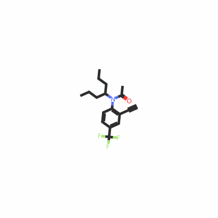 C#Cc1cc(C(F)(F)F)ccc1N(C(C)=O)C(CCC)CCC